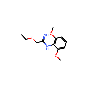 CCOCC(=N)Nc1c(OC)cccc1OC